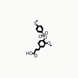 COc1cc(C=CC(=O)O)ccc1OS(=O)(=O)c1ccc(SC)cc1